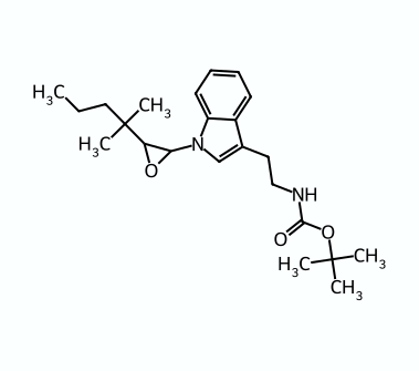 CCCC(C)(C)C1OC1n1cc(CCNC(=O)OC(C)(C)C)c2ccccc21